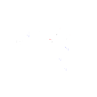 Cc1ncnc2c1ccn2[C@H]1C[C@@H](Oc2ccccc2CNC(=O)O)[C@H](O)[C@@H]1O